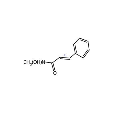 CN(O)C(=O)/C=C/c1ccccc1